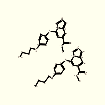 COC(=O)c1cc(Oc2ccc(OCCCCl)cc2)n2cncc2c1.COC(=O)c1cc(Oc2ccc(OCCCCl)cc2)n2cncc2c1